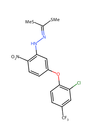 CSC(=NNc1cc(Oc2ccc(C(F)(F)F)cc2Cl)ccc1[N+](=O)[O-])SC